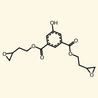 O=C(OCCC1CO1)c1cc(O)cc(C(=O)OCCC2CO2)c1